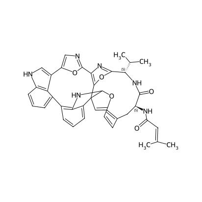 CC(C)=CC(=O)N[C@H]1Cc2ccc3c(c2)C24c5cccc(c5NC2O3)-c2cccc3[nH]cc(c23)-c2cnc(o2)-c2nc(oc24)[C@H](C(C)C)NC1=O